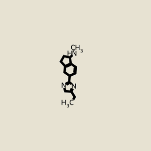 CCC1=NC(C2C=CC3=C(CCC3NC)C2)=NC1